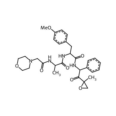 COc1ccc(CC(NC(=O)C(C)NC(=O)CN2CCOCC2)C(=O)NC(C(=O)C2(C)CO2)c2ccccc2)cc1